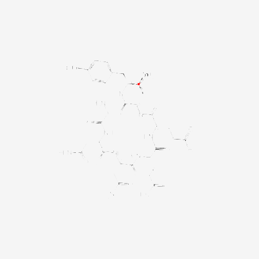 NCC(=O)N[C@@H](CC(N)=O)C(=O)N[C@@H](CC(N)=O)C(=O)N[C@@H](CCC(=O)O)C(=O)N[C@@H](CCC(=O)O)C(=O)N[C@@H](CC(N)=O)C(=O)N[C@@H](Cc1ccc(O)cc1)C(=O)O